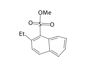 CCc1ccc2ccccc2c1S(=O)(=O)OC